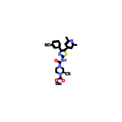 Cc1cc(-c2sc(NC(=O)N3CCN(C(=O)OC(C)(C)C)[C@H](C#N)C3)nc2-c2cccc(C#N)c2)cc(C)n1